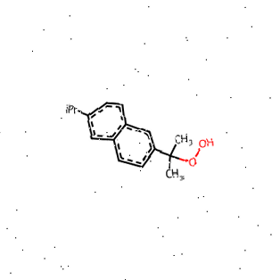 CC(C)c1ccc2cc(C(C)(C)OO)ccc2c1